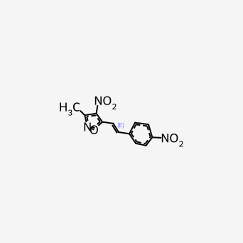 Cc1noc(/C=C/c2ccc([N+](=O)[O-])cc2)c1[N+](=O)[O-]